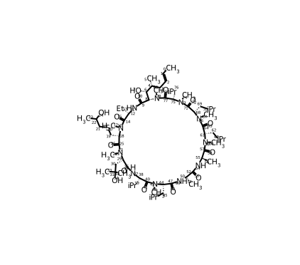 C/C=C/C[C@@H](C)[C@@H](O)[C@H]1C(=O)N[C@@H](CC)C(=O)N(C)[C@@H](CSCC(C)O)C(=O)N(C)[C@@H](CC(C)(C)O)C(=O)N[C@@H](C(C)C)C(=O)N(C)[C@@H](CC(C)C)C(=O)N[C@@H](C)C(=O)N[C@H](C)C(=O)N(C)[C@@H](CC(C)C)C(=O)N(C)[C@@H](CC(C)C)C(=O)N(C)[C@@H](C(C)C)C(=O)N1C